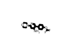 Nc1cc(N2CCOCC2)ncc1-c1ccc(OC(F)F)cc1